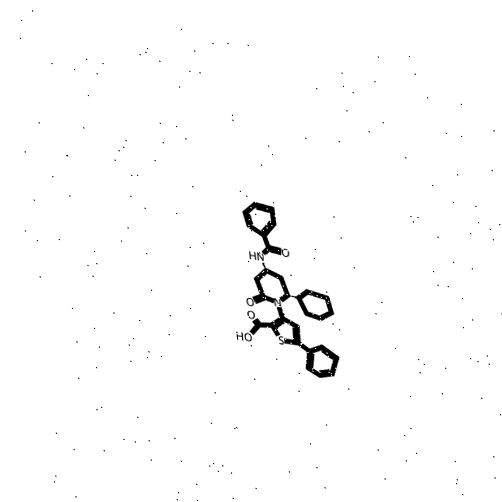 O=C(N[C@H]1CC(=O)N(c2cc(-c3ccccc3)sc2C(=O)O)[C@@H](C2CCCCC2)C1)c1ccccc1